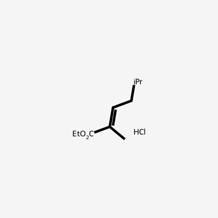 CCOC(=O)C(C)=CCC(C)C.Cl